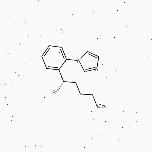 CCCCCCCCCCCCC[C@H](CC)c1ccccc1-n1ccnc1